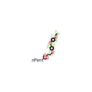 CCCCCC1COC(CCC(F)(F)Oc2cc(F)c(C(F)(F)Oc3cc(F)c(OC=C(F)F)c(F)c3)c(F)c2)OC1